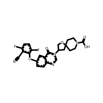 N#Cc1c(F)ccc(F)c1Oc1ccc2ncn(C3COC4(CCN(C(=O)O)CC4)C3)c(=O)c2c1